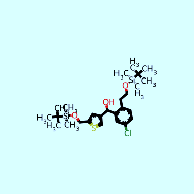 CC(C)(C)[Si](C)(C)OCCc1ccc(Cl)cc1C(O)c1csc(CO[Si](C)(C)C(C)(C)C)c1